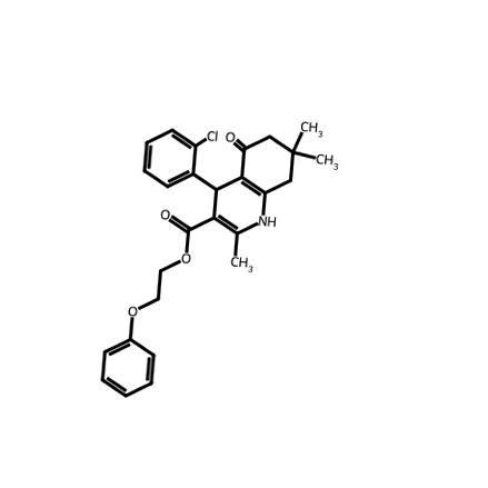 CC1=C(C(=O)OCCOc2ccccc2)C(c2ccccc2Cl)C2=C(CC(C)(C)CC2=O)N1